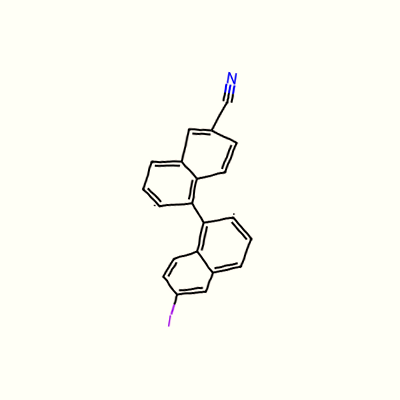 N#Cc1ccc2c(-c3[c]ccc4cc(I)ccc34)[c]ccc2c1